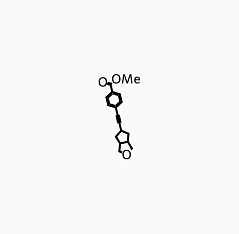 COC(=O)c1ccc(C#CC2CC3COCC3C2)cc1